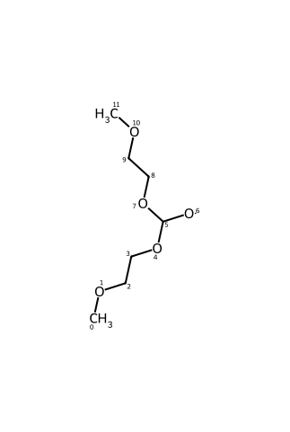 COCCOC([O])OCCOC